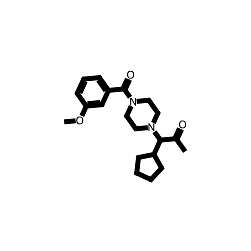 COc1cccc(C(=O)N2CCN(C(C(C)=O)C3CCCC3)CC2)c1